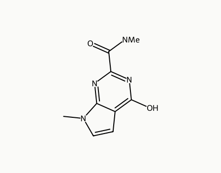 CNC(=O)c1nc(O)c2ccn(C)c2n1